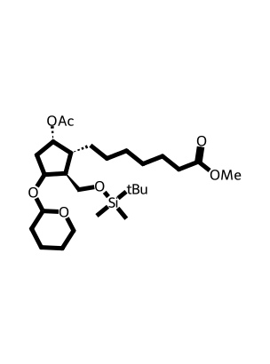 COC(=O)CCCCCC[C@H]1[C@@H](OC(C)=O)CC(OC2CCCCO2)[C@@H]1CO[Si](C)(C)C(C)(C)C